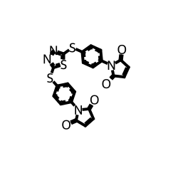 O=C1C=CC(=O)N1c1ccc(Sc2nnc(Sc3ccc(N4C(=O)C=CC4=O)cc3)s2)cc1